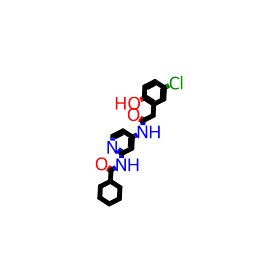 O=C(Cc1cc(Cl)ccc1O)Nc1ccnc(NC(=O)C2CCCCC2)c1